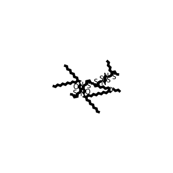 CCCCCCCCCCC(CCCCCCCC)CN1C(=O)C2=C(c3ccc(-c4cc(CCCCOCCCC)c(-c5nc6sc(-c7sc(C)cc7CCCCC)nc6s5)s4)s3)N(CC(CCCCCCCC)CCCCCCCCCC)C(=O)C2=C1c1ccc(C)s1